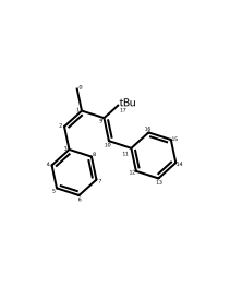 CC(=Cc1ccccc1)C(=Cc1ccccc1)C(C)(C)C